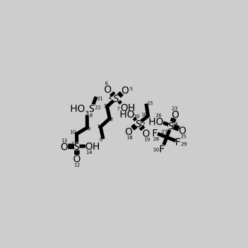 CCCCS(=O)(=O)O.CCCS(=O)(=O)O.CCS(=O)(=O)O.CS(=O)(=O)O.O=S(=O)(O)C(F)(F)F